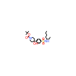 CCCCC(CC)NS(=O)(=O)c1ccc(C2(O)CCN(C(=O)OC(C)(C)C)CC2)cc1